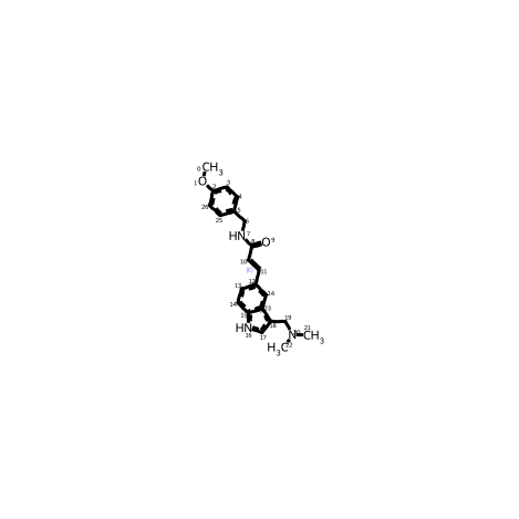 COc1ccc(CNC(=O)/C=C/c2ccc3[nH]cc(CN(C)C)c3c2)cc1